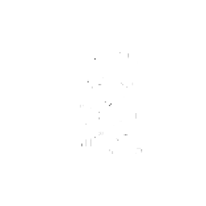 Nc1nc(Cl)nc2c1ncn2[C@@]1(O)C[C@H]2C[C@@]2(CO)[C@H]1O